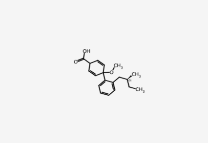 CC[C@H](C)Cc1ccccc1C1(OC)C=CC(C(=O)O)C=C1